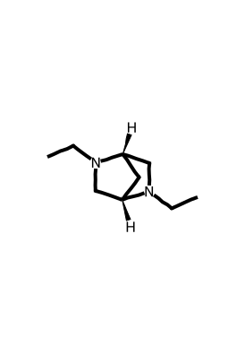 CCN1C[C@@H]2C[C@H]1CN2CC